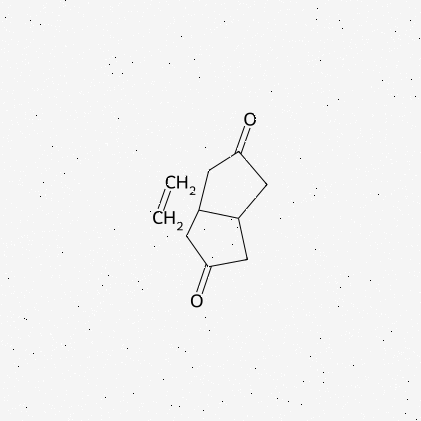 C=C.O=C1CC2CC(=O)CC2C1